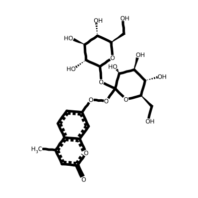 Cc1cc(=O)oc2cc(OOC3(OC4O[C@H](CO)[C@@H](O)[C@H](O)[C@H]4O)O[C@H](CO)[C@@H](O)[C@H](O)[C@H]3O)ccc12